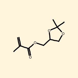 C=C(C)C(=O)OCC1COC(C)(C)O1